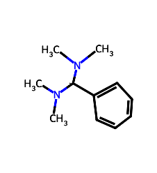 CN(C)[C](c1ccccc1)N(C)C